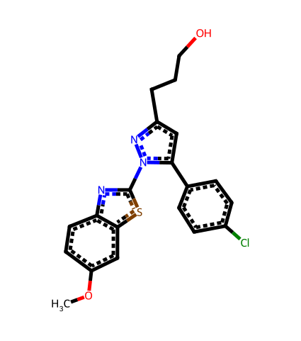 COc1ccc2nc(-n3nc(CCCO)cc3-c3ccc(Cl)cc3)sc2c1